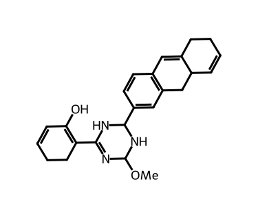 COC1N=C(C2=C(O)C=CCC2)NC(c2ccc3c(c2)CC2C=CCCC2=C3)N1